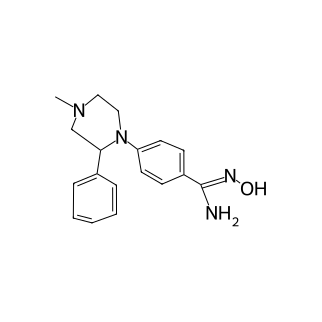 CN1CCN(c2ccc(/C(N)=N/O)cc2)C(c2ccccc2)C1